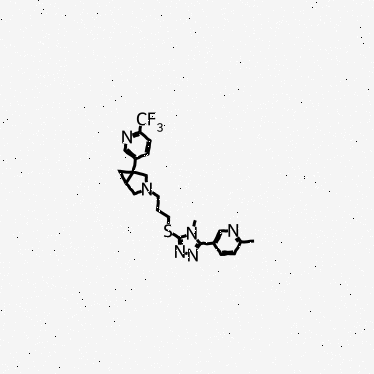 Cc1ccc(-c2nnc(SCCCN3CC4CC4(c4ccc(C(F)(F)F)nc4)C3)n2C)cn1